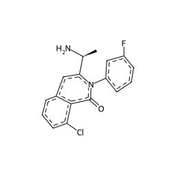 C[C@H](N)c1cc2cccc(Cl)c2c(=O)n1-c1cccc(F)c1